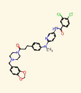 CN(c1ccc(CCC(=O)N2CCN(Cc3ccc4c(c3)OCO4)CC2)cc1)c1ccc(NC(=O)c2ccc(Cl)c(Cl)c2)cn1